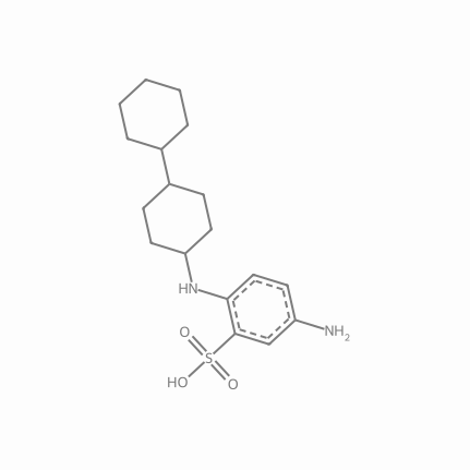 Nc1ccc(NC2CCC(C3CCCCC3)CC2)c(S(=O)(=O)O)c1